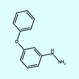 NNc1cccc(Oc2ccccc2)c1